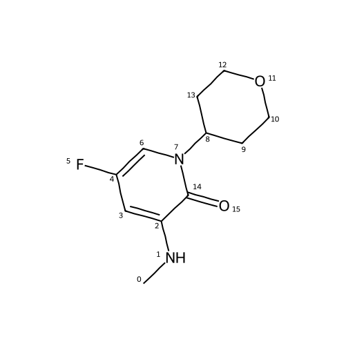 CNc1cc(F)cn(C2CCOCC2)c1=O